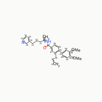 C=CCc1cc(C(=O)N[C@H](C)CCCc2cccnc2)ccc1-c1ccc(OC)c(OC)c1